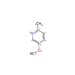 Cc1ccc(OC#N)cn1